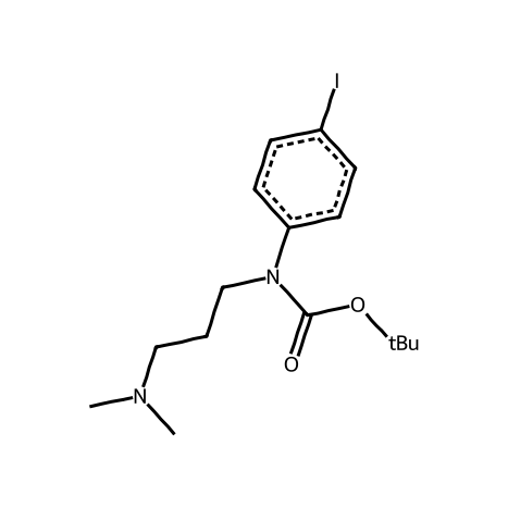 CN(C)CCCN(C(=O)OC(C)(C)C)c1ccc(I)cc1